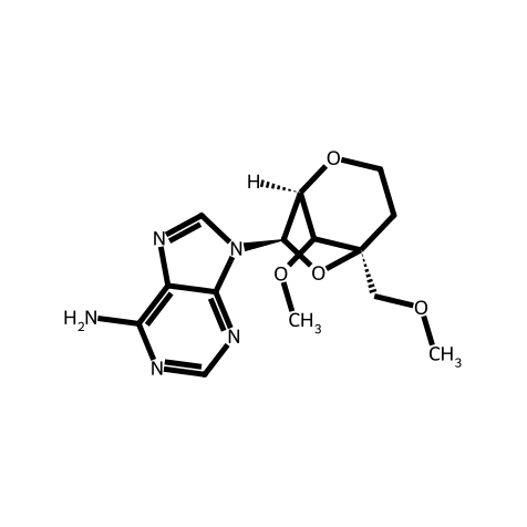 COC[C@@]12CCO[C@@H](C1OC)[C@H](n1cnc3c(N)ncnc31)O2